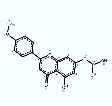 COc1ccc(-c2cc(=O)c3c(O)cc(OP(O)O)cc3o2)cc1